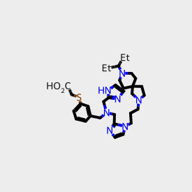 CCC(CC)N1CCC2(CCN(CCCn3ccnc3CN(Cc3cccc(SCC(=O)O)c3)Cc3ncc[nH]3)C2)CC1